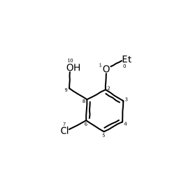 CCOc1cccc(Cl)c1CO